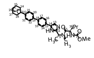 COC(=O)N[C@@H](C(=O)N(C)[C@@H](C)c1ncc(-c2ccc(-c3ccc(C45CCC(CC4)CC5)cc3)cc2)[nH]1)C(C)C